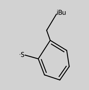 CCC(C)Cc1ccccc1[S]